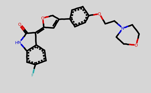 O=C1Nc2cc(F)ccc2/C1=C1\C=C(c2ccc(OCCN3CCOCC3)cc2)CO1